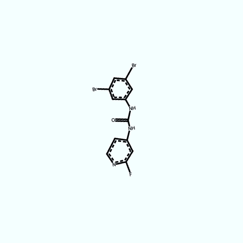 O=C(Nc1cc(Br)cc(Br)c1)Nc1ccnc(F)c1